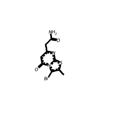 Cc1sc2nc(CC(N)=O)cc(=O)n2c1Br